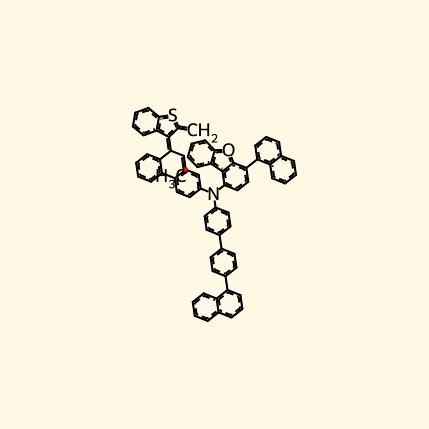 C=c1sc2ccccc2/c1=C(/C=C\C)c1ccccc1-c1ccc(N(c2ccc(-c3ccc(-c4cccc5ccccc45)cc3)cc2)c2ccc(-c3cccc4ccccc34)c3oc4ccccc4c23)cc1